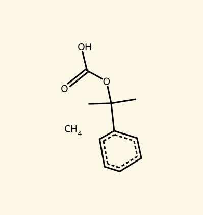 C.CC(C)(OC(=O)O)c1ccccc1